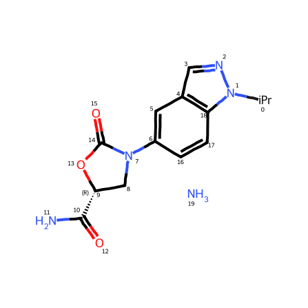 CC(C)n1ncc2cc(N3C[C@H](C(N)=O)OC3=O)ccc21.N